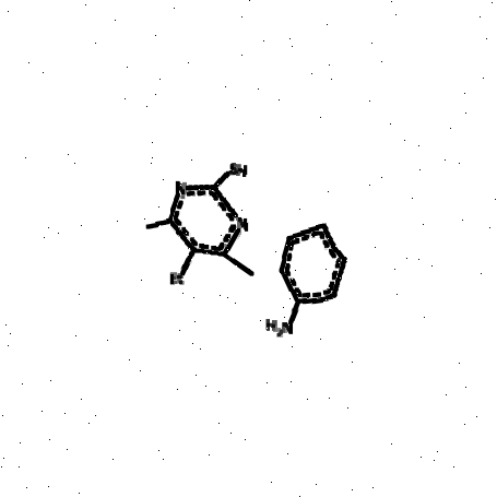 CCc1c(C)nc(S)nc1C.Nc1ccccc1